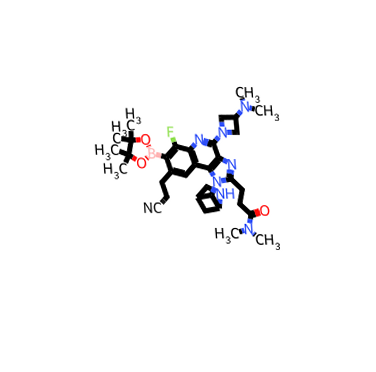 CN(C)C(=O)CCc1nc2c(N3CC(N(C)C)C3)nc3c(F)c(B4OC(C)(C)C(C)(C)O4)c(CCC#N)cc3c2n1C1C2CNC1C2